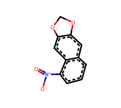 O=[N+]([O-])c1cccc2cc3c(cc12)OCO3